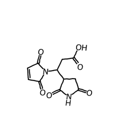 O=C(O)CC(C1CC(=O)NC1=O)N1C(=O)C=CC1=O